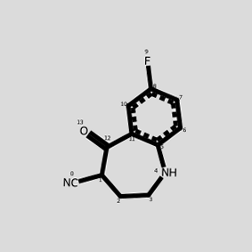 N#CC1CCNc2ccc(F)cc2C1=O